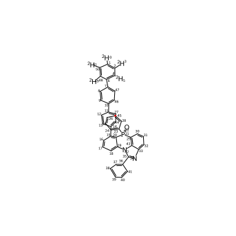 [2H]c1c([2H])c([2H])c(-c2ccc(-c3ccc(-c4cccc5c4P(=O)(c4ccccc4)c4cccc6nc(-c7ccccc7)n-5c46)cc3)cc2)c([2H])c1[2H]